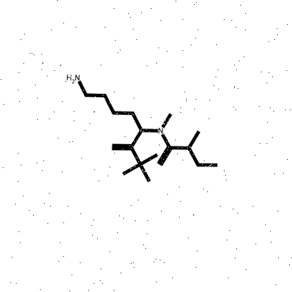 C=C(C(C)CC)N(C)C(CCCCN)C(=C)C(C)(C)C